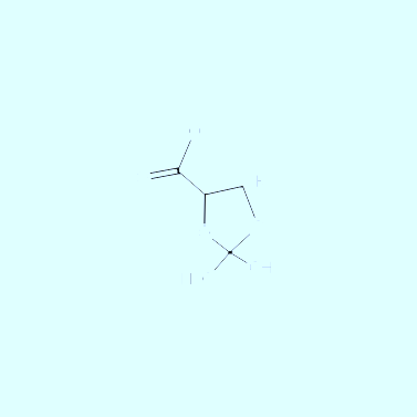 CC1(C)OCC(C(=O)[O-])O1.[K+]